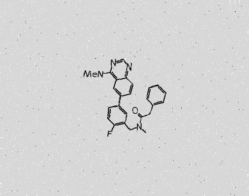 CNc1ncnc2ccc(-c3ccc(F)c(CN(C)C(=O)Cc4ccccc4)c3)cc12